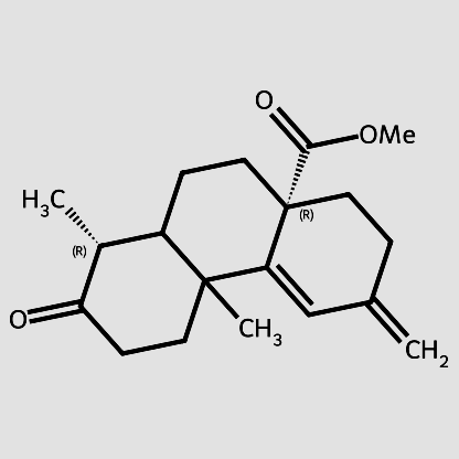 C=C1C=C2C3(C)CCC(=O)[C@H](C)C3CC[C@@]2(C(=O)OC)CC1